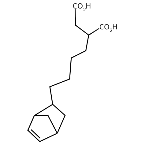 O=C(O)CC(CCCCC1CC2C=CC1C2)C(=O)O